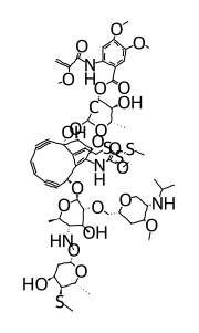 C=C(OC)C(=O)Nc1cc(OC)c(OC)cc1C(=O)O[C@H]1CC(O[C@@H]2C(=O)C(NC(=O)OC)=C3/C(=C\CSSSC)[C@@]2(O)C#C/C=C\C#C[C@@H]3O[C@@H]2O[C@H](C)[C@@H](NO[C@H]3C[C@H](O)[C@H](SC)[C@@H](C)O3)[C@H](O)[C@H]2OC[C@H]2C[C@H](OC)[C@@H](NC(C)C)CO2)O[C@@H](C)[C@@H]1O